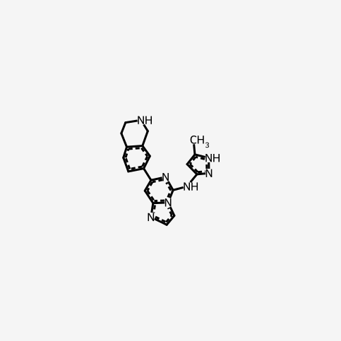 Cc1cc(Nc2nc(-c3ccc4c(c3)CNCC4)cc3nccn23)n[nH]1